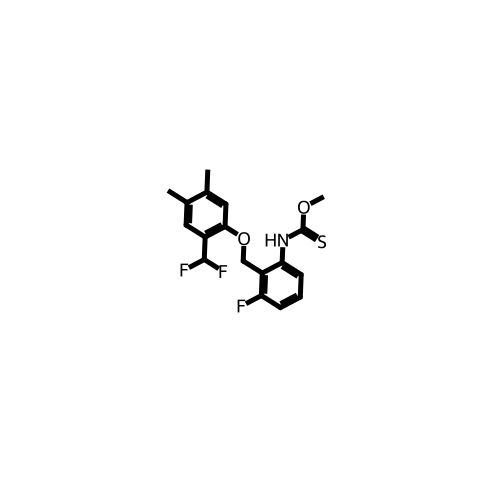 COC(=S)Nc1cccc(F)c1COc1cc(C)c(C)cc1C(F)F